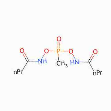 CCCC(=O)NOP(C)(=O)ONC(=O)CCC